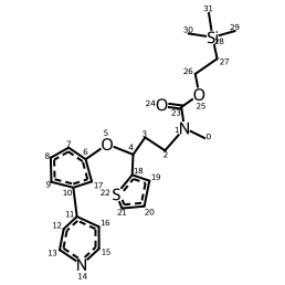 CN(CCC(Oc1cccc(-c2ccncc2)c1)c1cccs1)C(=O)OCC[Si](C)(C)C